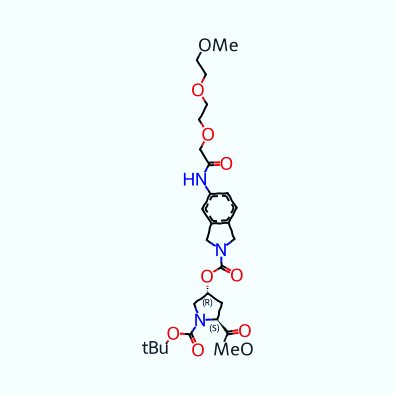 COCCOCCOCC(=O)Nc1ccc2c(c1)CN(C(=O)O[C@@H]1C[C@@H](C(=O)OC)N(C(=O)OC(C)(C)C)C1)C2